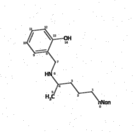 CCCCCCCCCCCCC(C)NCc1ccccc1O